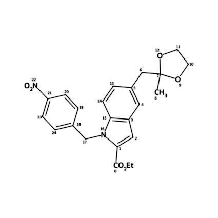 CCOC(=O)c1cc2cc(CC3(C)OCCO3)ccc2n1Cc1ccc([N+](=O)[O-])cc1